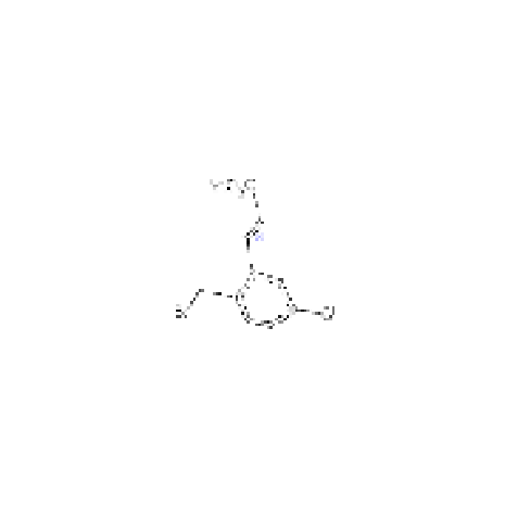 CCOC(=O)/C=C/c1cc(Cl)ccc1CBr